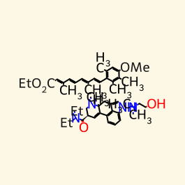 CCN(CC)C(=O)[C@@H]1C=C2c3cccc4[nH]cc(c34)C[C@H]2N(C)C1.CCOC(=O)/C=C(C)/C=C/C=C(C)/C=C/c1c(C)cc(OC)c(C)c1C.CN(C)CCO